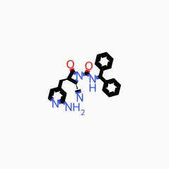 N#C[C@@H]1[C@@H](Cc2ccnc(N)c2)C(=O)N1C(=O)NC(c1ccccc1)c1ccccc1